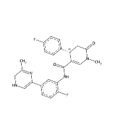 CC1=NC(c2ccc(F)c(NC(=O)C3=CN(C)C(=O)C[C@H]3c3ccc(F)cc3)c2)=CNC1